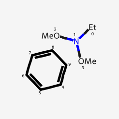 CCN(OC)OC.c1ccccc1